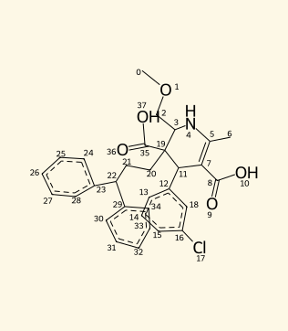 COCC1NC(C)=C(C(=O)O)C(c2cccc(Cl)c2)C1(CCC(c1ccccc1)c1ccccc1)C(=O)O